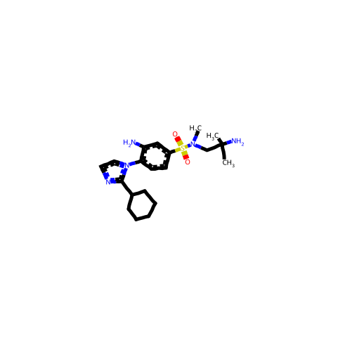 CN(CC(C)(C)N)S(=O)(=O)c1ccc(-n2ccnc2C2CCCCC2)c(N)c1